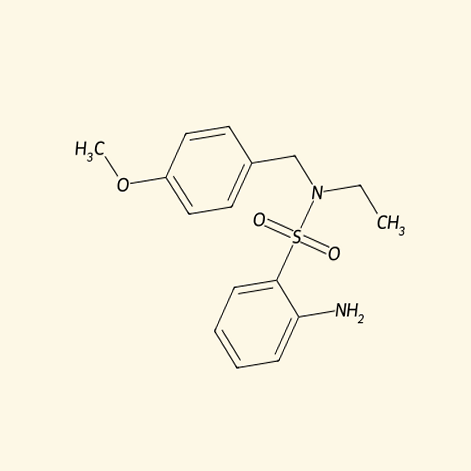 CCN(Cc1ccc(OC)cc1)S(=O)(=O)c1ccccc1N